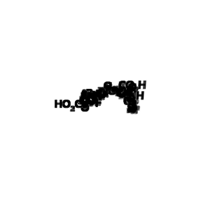 CC(C)(C)n1cc(C(=O)O)c(=O)c2cc(F)c(N3CCN(C(=O)OCC4=C(C(=O)O)N5C(=O)[C@@H](NC(=O)Cc6cccs6)[C@H]5CC4)CC3)nc21